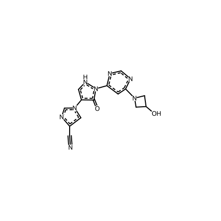 N#Cc1cn(-c2c[nH]n(-c3cc(N4CC(O)C4)ncn3)c2=O)cn1